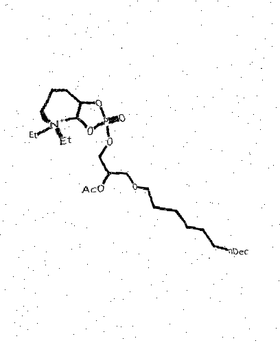 CCCCCCCCCCCCCCCCOCC(COP1(=O)OC2CCC[N+](CC)(CC)C2O1)OC(C)=O